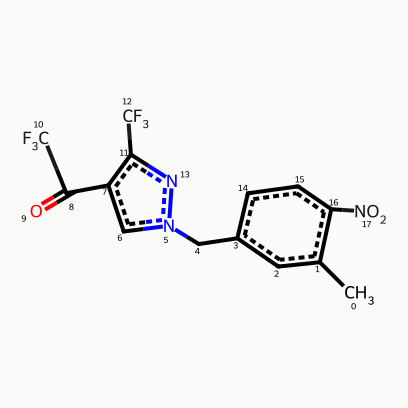 Cc1cc(Cn2cc(C(=O)C(F)(F)F)c(C(F)(F)F)n2)ccc1[N+](=O)[O-]